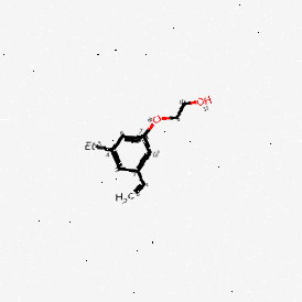 C=Cc1cc(CC)cc(OCCO)c1